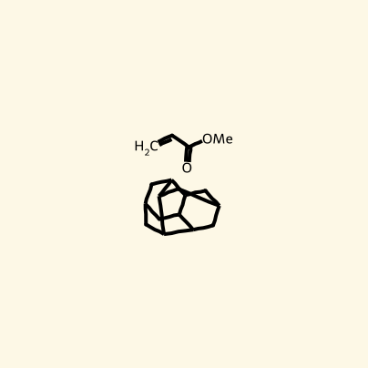 C1C2CC3C4CC5CC(C14)C(C2)C3C5.C=CC(=O)OC